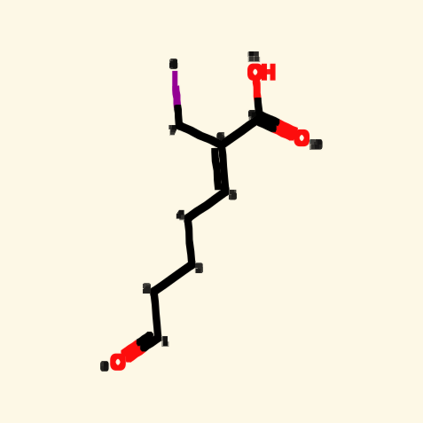 O=CCCCC=C(CI)C(=O)O